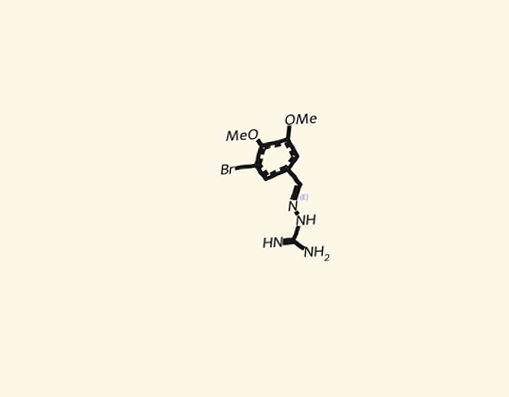 COc1cc(/C=N/NC(=N)N)cc(Br)c1OC